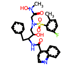 Cc1ccc(F)cc1S(=O)(=O)N(CC(=O)N(C)O)CC(O)C(Cc1ccccc1)NC(=O)c1ccnc2ccccc12